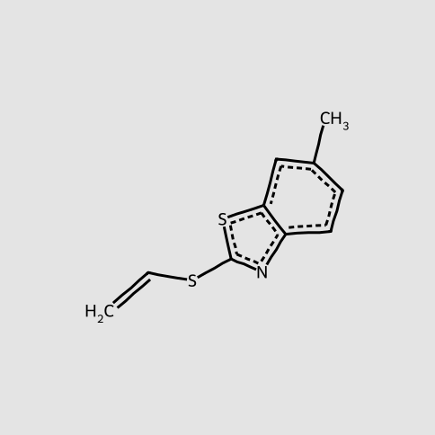 C=CSc1nc2ccc(C)cc2s1